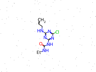 C=CCNc1nc(Cl)nc(NC(=O)NCC)n1